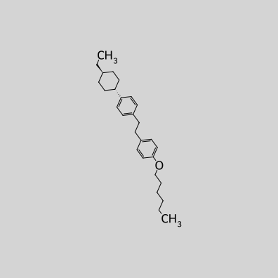 CCCCCCOc1ccc(CCc2ccc([C@H]3CC[C@H](CC)CC3)cc2)cc1